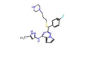 Cc1cc(Nc2nc(C(SCCCN3CCNCC3)c3ccc(F)cc3)nn3cccc23)n[nH]1